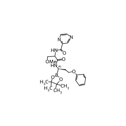 COCC(NC(=O)c1cnccn1)C(=O)N[C@@H](CCOc1ccccc1)B1OC(C)(C)C(C)(C)O1